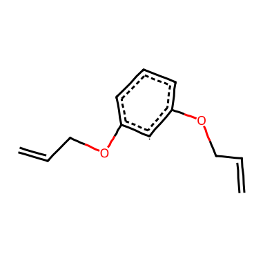 C=CCOc1[c]c(OCC=C)ccc1